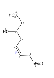 CCCCCC/C=C\CC(O)CC(=O)O